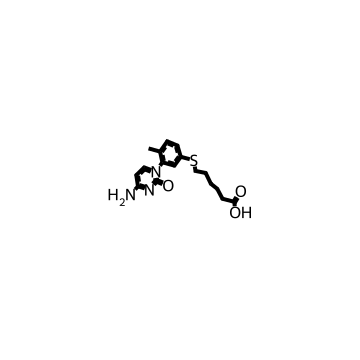 Cc1ccc(SCCCCCC(=O)O)cc1-n1ccc(N)nc1=O